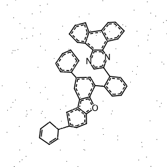 C1=CCC(c2ccc3oc4c(-c5ccccc5-c5cnc6c7ccccc7c7ccccc7c6n5)cc(-c5ccccc5)cc4c3c2)C=C1